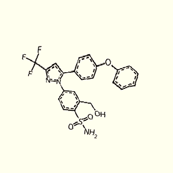 NS(=O)(=O)c1ccc(-n2nc(C(F)(F)F)cc2-c2ccc(Oc3ccccc3)cc2)cc1CO